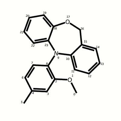 COc1cc(C)ccc1N1c2ccccc2COc2ccccc21